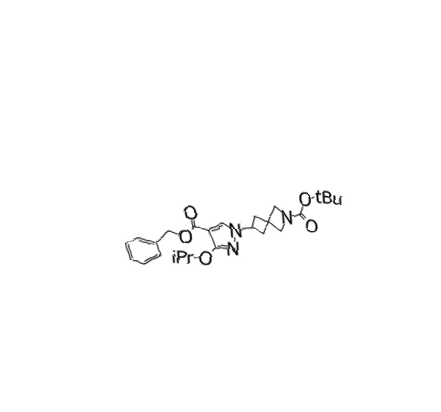 CC(C)Oc1nn(C2CC3(C2)CN(C(=O)OC(C)(C)C)C3)cc1C(=O)OCc1ccccc1